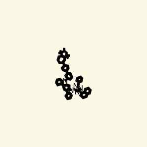 CC1CC(C)(C)C2=C(C=CCC(c3ccc(-c4cccc(-n5c6ccccc6c6cc7c8ccccc8n(-c8nc(-c9ccccc9)nc(-c9cccc%10ccccc9%10)n8)c7cc65)c4)cc3)=C2)C1(C)C